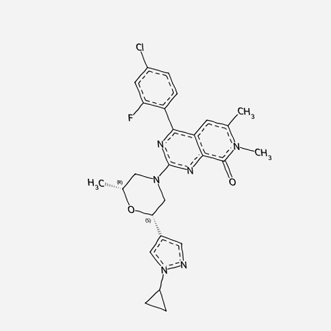 Cc1cc2c(-c3ccc(Cl)cc3F)nc(N3C[C@@H](C)O[C@@H](c4cnn(C5CC5)c4)C3)nc2c(=O)n1C